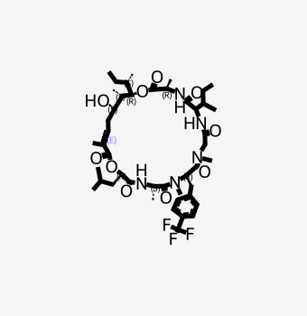 CCC(C)C1NC(=O)CN(C)C(=O)[C@@H](Cc2ccc(C(F)(F)F)cc2)N(C)C(=O)[C@H](C)NC(=O)[C@@H](CC(C)C)OC(=O)/C(C)=C/C[C@H](O)[C@H](C)[C@@H]([C@@H](C)CC)OC(=O)[C@@H](C)NC1=O